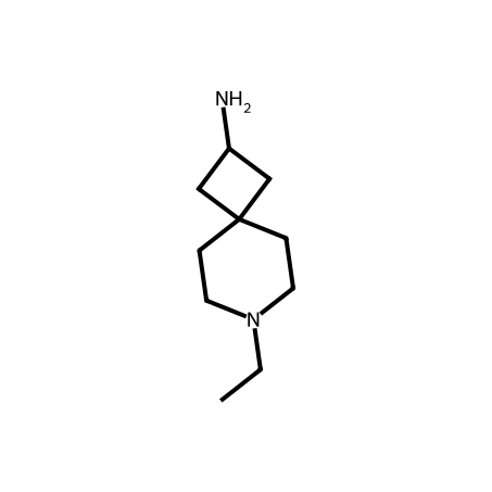 CCN1CCC2(CC1)CC(N)C2